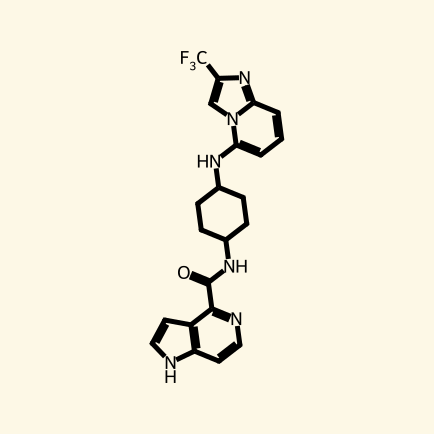 O=C(NC1CCC(Nc2cccc3nc(C(F)(F)F)cn23)CC1)c1nccc2[nH]ccc12